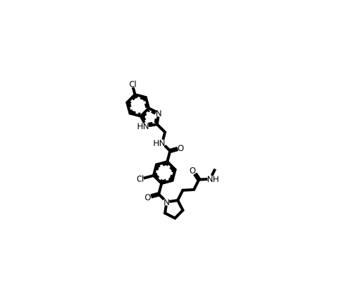 CNC(=O)CCC1CCCN1C(=O)c1ccc(C(=O)NCc2nc3cc(Cl)ccc3[nH]2)cc1Cl